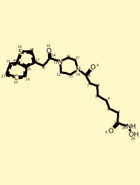 O=C(CCCCCCC(=O)N1CCN(C(=O)Cc2csc3ccccc23)CC1)NO